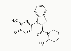 CC1CCCCN1C(=O)[C@@H]1Cc2ccccc2N1c1ccc(=O)n(C)n1